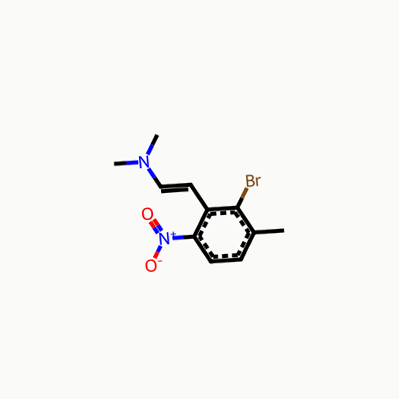 Cc1ccc([N+](=O)[O-])c(/C=C/N(C)C)c1Br